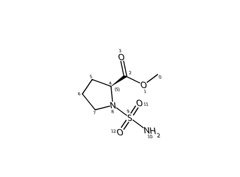 COC(=O)[C@@H]1CCCN1S(N)(=O)=O